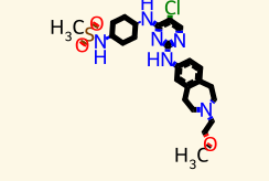 COCCN1CCc2ccc(Nc3ncc(Cl)c(N[C@H]4CC[C@H](NS(C)(=O)=O)CC4)n3)cc2CC1